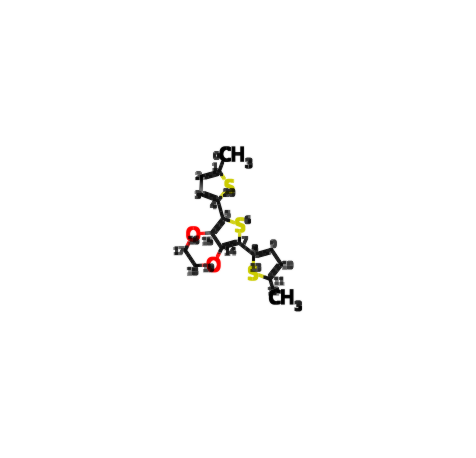 Cc1ccc(-c2sc(-c3ccc(C)s3)c3c2OCCO3)s1